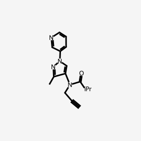 C#CCN(C(=O)C(C)C)c1cn(-c2cccnc2)nc1C